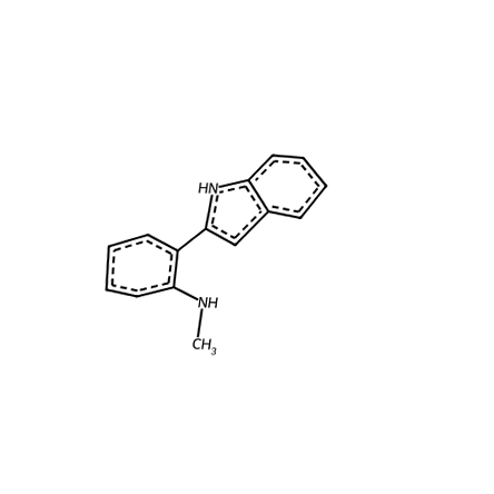 CNc1ccccc1-c1cc2ccccc2[nH]1